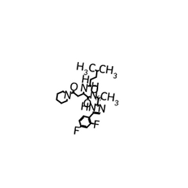 CC(C)CCC(=O)NC(CC(=O)N1CCCCC1)C(=O)N[C@@H](C)c1ncc(-c2ccc(F)cc2F)[nH]1